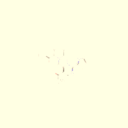 C=C(O)C1CSCCN1CC1=C(C(=O)OC)CN=C(c2nccs2)N1